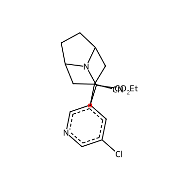 CCOC(=O)C(C)N1C2CCC1CC(C#N)(c1cncc(Cl)c1)C2